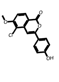 COc1ccc2c(=O)oc(-c3ccc(O)cc3)cc2c1Cl